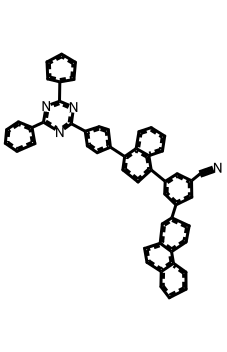 N#Cc1cc(-c2ccc3c(ccc4ccccc43)c2)cc(-c2ccc(-c3ccc(-c4nc(-c5ccccc5)nc(-c5ccccc5)n4)cc3)c3ccccc23)c1